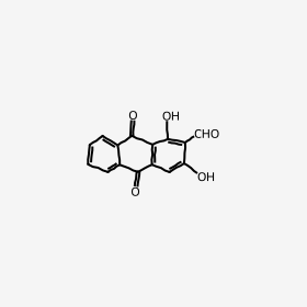 O=Cc1c(O)cc2c(c1O)C(=O)c1ccccc1C2=O